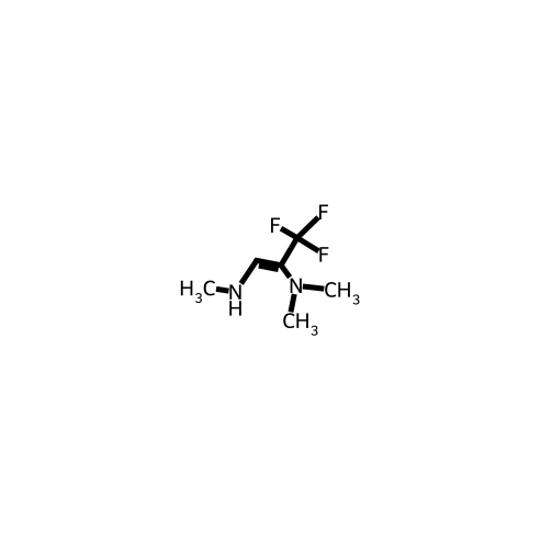 CN/C=C(\N(C)C)C(F)(F)F